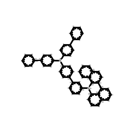 c1ccc(-c2ccc(N(c3ccc(-c4ccccc4)cc3)c3ccc(-c4cccc(N5c6c(ccc7ccccc67)-c6cccc7cccc5c67)c4)cc3)cc2)cc1